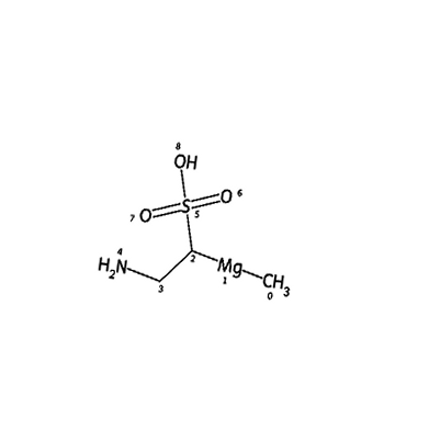 [CH3][Mg][CH](CN)S(=O)(=O)O